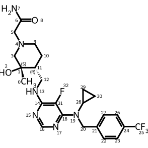 C[C@@]1(O)CN(CC(N)=O)CC[C@@H]1CNc1ncnc(N(Cc2ccc(C(F)(F)F)cc2)C2CC2)c1F